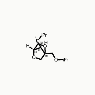 CC(C)OC[C@]12CO[C@H]([C@H](C)O1)[C@H]2OC(C)C